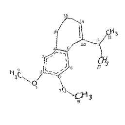 COc1cc2c(cc1OC)C(C(C)C)=CCC2